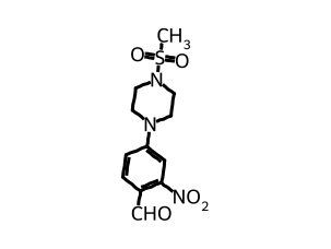 CS(=O)(=O)N1CCN(c2ccc(C=O)c([N+](=O)[O-])c2)CC1